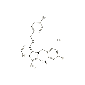 Cc1c(C)n(Cc2ccc(F)cc2)c2c(OCc3ccc(Br)cc3)ccnc12.Cl